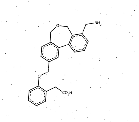 NCc1cccc2c1COCc1ccc(COc3ccccc3CC(=O)O)cc1-2